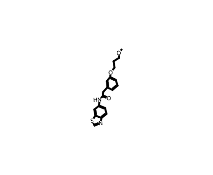 COCCCOc1cccc(CC(=O)Nc2ccc3ncsc3c2)c1